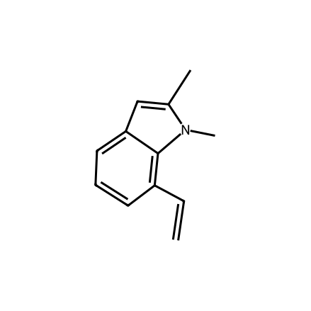 C=Cc1cccc2cc(C)n(C)c12